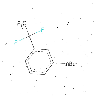 CCC[CH]c1cccc(C(F)(F)C(F)(F)F)c1